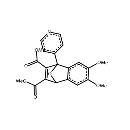 COC(=O)C1=C(C(=O)OC)C2(c3ccncc3)OC1c1cc(OC)c(OC)cc12